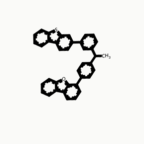 CC(c1ccc(-c2cccc3c2oc2ccccc23)cc1)c1cccc(-c2ccc3c(c2)sc2ccccc23)c1